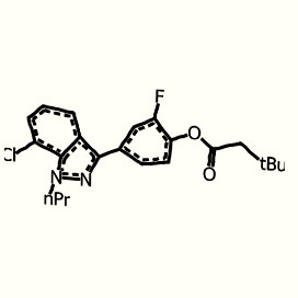 CCCn1nc(-c2ccc(OC(=O)CC(C)(C)C)c(F)c2)c2cccc(Cl)c21